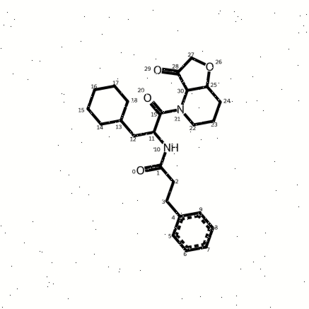 O=C(CCc1ccccc1)NC(CC1CCCCC1)C(=O)N1CCCC2OCC(=O)C21